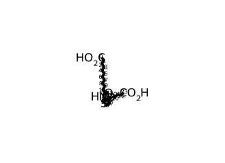 O=C(O)CCCCCCCCCCC(=O)Nc1sccc1OCCCC(=O)O